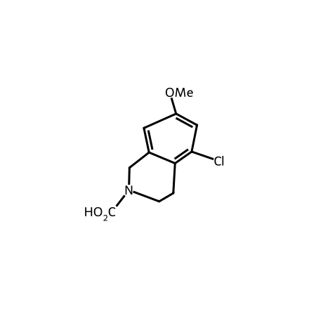 COc1cc(Cl)c2c(c1)CN(C(=O)O)CC2